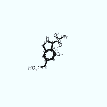 CC(C)S(=O)(=O)C1NCc2cc(CC(=O)O)ccc21.Cl